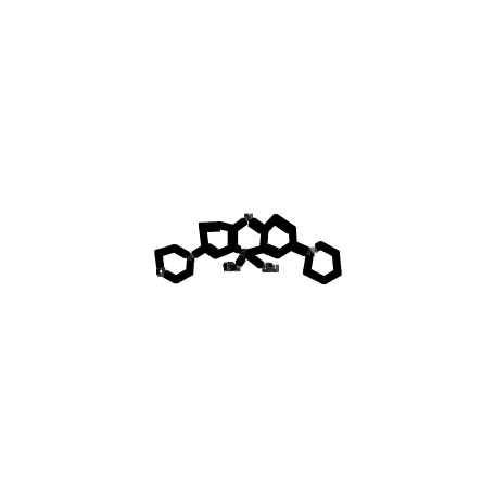 CC(C)(C)[Si]1(C(C)(C)C)C2=CC(=[N+]3CCCCC3)C=CC2=Nc2ccc(N3CCOCC3)cc21